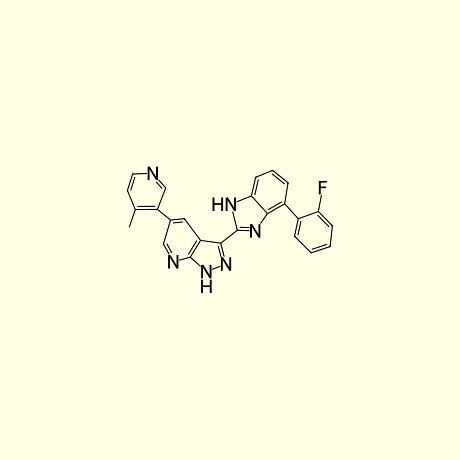 Cc1ccncc1-c1cnc2[nH]nc(-c3nc4c(-c5ccccc5F)cccc4[nH]3)c2c1